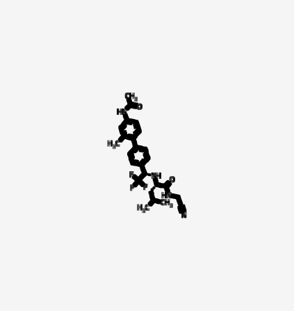 CC(=O)Nc1ccc(-c2ccc([C@H](N[C@@H](CC(C)C)C(=O)NCC#N)C(F)(F)F)cc2)c(C)c1